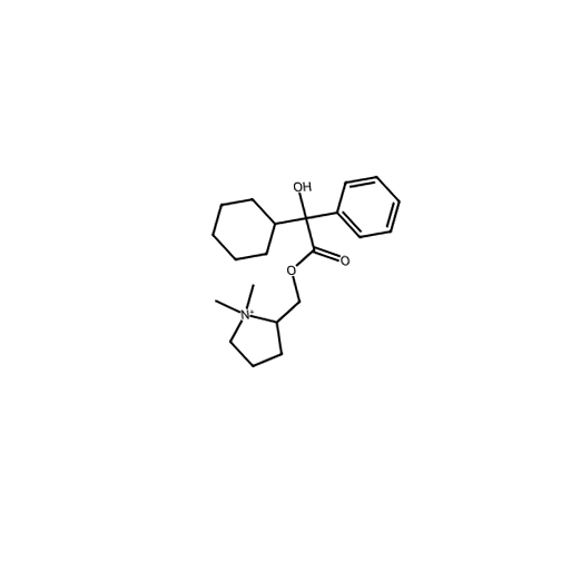 C[N+]1(C)CCCC1COC(=O)C(O)(c1ccccc1)C1CCCCC1